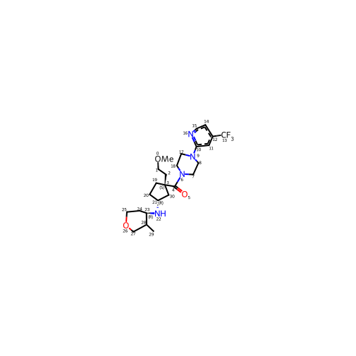 COCC[C@]1(C(=O)N2CCN(c3cc(C(F)(F)F)ccn3)CC2)CC[C@@H](N[C@@H]2CCOCC2C)C1